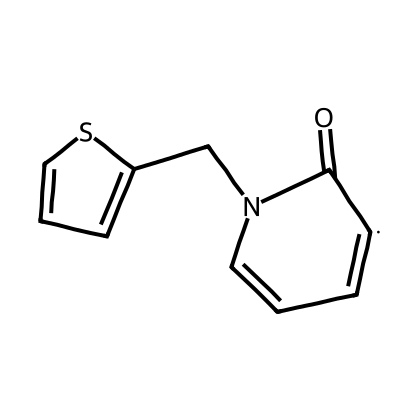 O=c1[c]cccn1Cc1cccs1